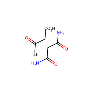 CCC(=O)CC(=O)O.NC(=O)CC(N)=O